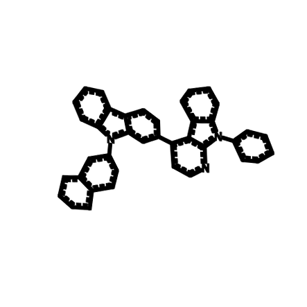 c1ccc(-n2c3ccccc3c3c(-c4ccc5c6ccccc6n(-c6ccc7ccccc7c6)c5c4)ccnc32)cc1